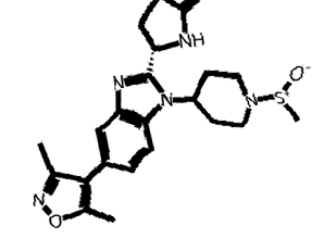 Cc1noc(C)c1-c1ccc2c(c1)nc([C@@H]1CCC(=O)N1)n2C1CCN([S+](C)[O-])CC1